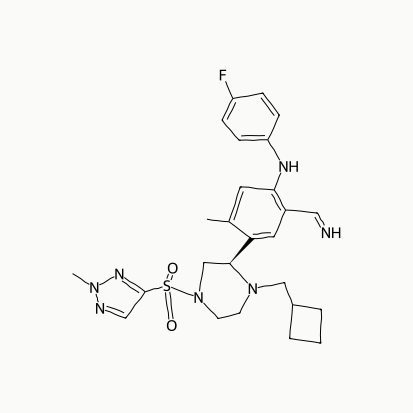 Cc1cc(Nc2ccc(F)cc2)c(C=N)cc1[C@@H]1CN(S(=O)(=O)c2cnn(C)n2)CCN1CC1CCC1